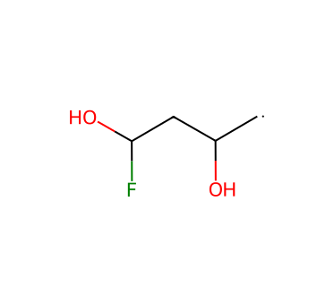 [CH2]C(O)CC(O)F